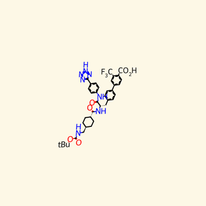 CC(C)(C)OC(=O)NC[C@H]1CC[C@H](C(=O)N[C@@H](Cc2ccc(-c3ccc(C(=O)O)c(C(F)(F)F)c3)cc2)C(=O)Nc2ccc(-c3nn[nH]n3)cc2)CC1